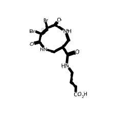 O=C(O)CCCNC(=O)C1CNC(=O)/C(Br)=C(/Br)C(=O)NC1